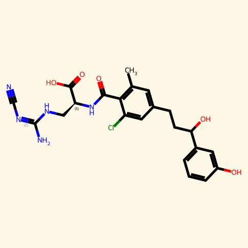 Cc1cc(CCC(O)c2cccc(O)c2)cc(Cl)c1C(=O)N[C@@H](CN/C(N)=N\C#N)C(=O)O